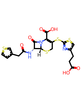 O=C(O)CCc1csc(SC2=C(C(=O)O)N3C(=O)[C@@H](NC(=O)Cc4ccsc4)[C@H]3SC2)n1